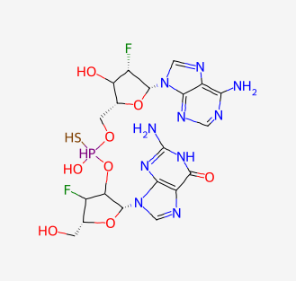 Nc1nc2c(ncn2[C@@H]2O[C@H](CO)C(F)C2O[PH](O)(S)OC[C@H]2O[C@@H](n3cnc4c(N)ncnc43)[C@@H](F)C2O)c(=O)[nH]1